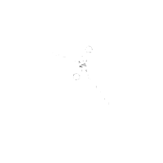 CCCCCCCCCCCCCCCCn1cc(CC(C)c2ccccc2)[n+](CCCCCCCCCCC)c1Cc1ccccc1